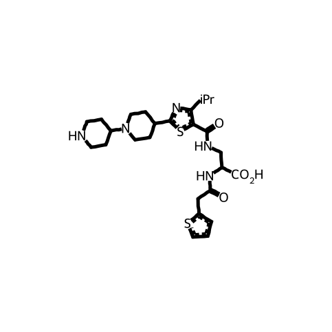 CC(C)c1nc(C2CCN(C3CCNCC3)CC2)sc1C(=O)NCC(NC(=O)Cc1cccs1)C(=O)O